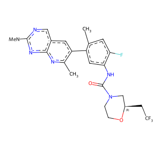 CNc1ncc2cc(-c3cc(NC(=O)N4CCO[C@H](CC(F)(F)F)C4)c(F)cc3C)c(C)nc2n1